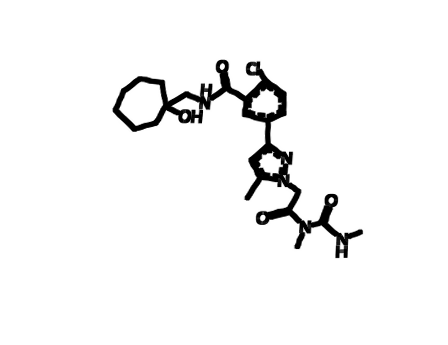 CNC(=O)N(C)C(=O)Cn1nc(-c2ccc(Cl)c(C(=O)NCC3(O)CCCCCC3)c2)cc1C